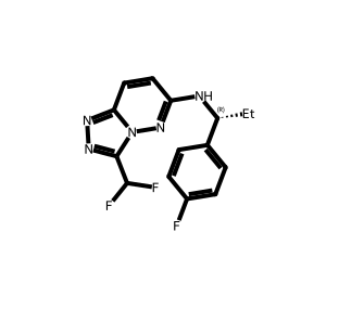 CC[C@@H](Nc1ccc2nnc(C(F)F)n2n1)c1ccc(F)cc1